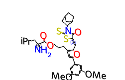 COc1cc(OC)cc(-c2cc(CCCOC(=O)[C@@H](N)CC(C)C)c(/C=C3\SC(=S)N(C4CC5CCC4C5)C3=O)o2)c1